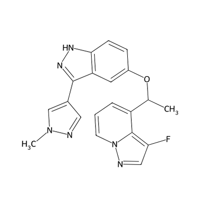 CC(Oc1ccc2[nH]nc(-c3cnn(C)c3)c2c1)c1cccn2ncc(F)c12